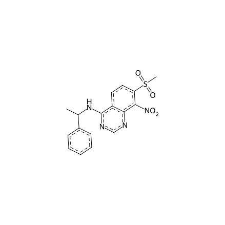 CC(Nc1ncnc2c([N+](=O)[O-])c(S(C)(=O)=O)ccc12)c1ccccc1